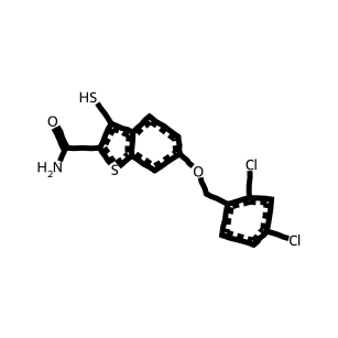 NC(=O)c1sc2cc(OCc3ccc(Cl)cc3Cl)ccc2c1S